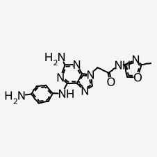 Cc1nc(NC(=O)Cn2cnc3c(Nc4ccc(N)cc4)nc(N)nc32)co1